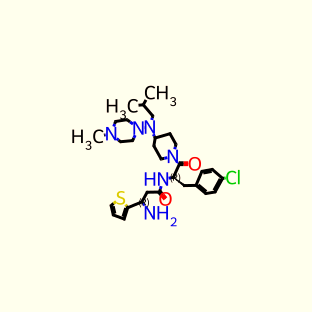 CC(C)CN(C1CCN(C(=O)[C@@H](Cc2ccc(Cl)cc2)NC(=O)C[C@@H](N)c2cccs2)CC1)N1CCN(C)CC1